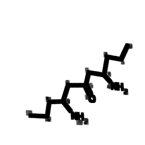 CCCC(N)CC(=O)CC(N)CCC